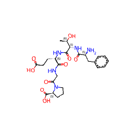 C[C@@H](O)[C@H](NC(=O)[C@@H](N)Cc1ccccc1)C(=O)N[C@@H](CCC(=O)O)C(=O)NCC(=O)N1CCC[C@H]1C(=O)O